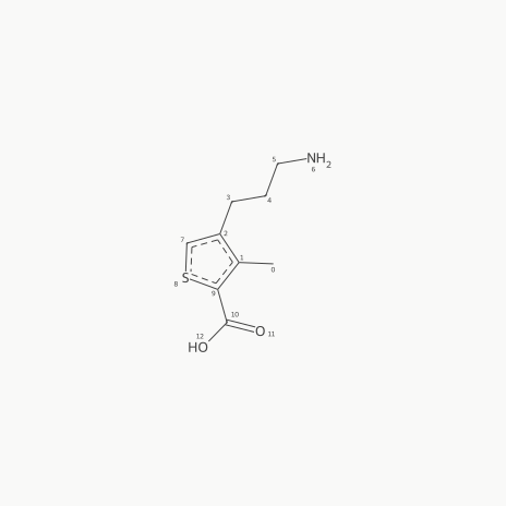 Cc1c(CCCN)csc1C(=O)O